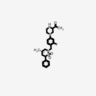 CC(=O)C1CN(c2ccc(CN3C[C@@H](C)CC(c4ccccc4)S3(=O)=O)c(F)c2)CCN1